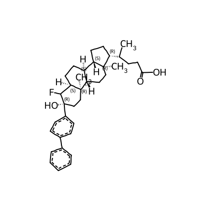 CC(CCC(=O)O)[C@H]1CC[C@H]2[C@@H]3CC[C@@H]4C(F)[C@](O)(c5ccc(-c6ccccc6)cc5)CC[C@]4(C)[C@H]3CC[C@]12C